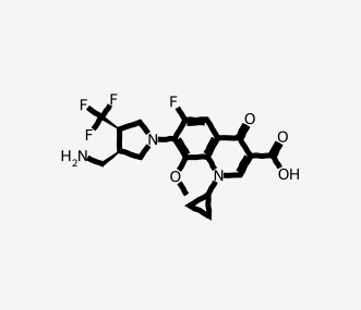 COc1c(N2C[C@@H](CN)[C@@H](C(F)(F)F)C2)c(F)cc2c(=O)c(C(=O)O)cn(C3CC3)c12